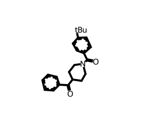 CC(C)(C)c1ccc(C(=O)N2CCC(C(=O)c3ccccc3)CC2)cc1